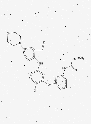 C=CC(=O)Nc1cccc(Oc2cc(Nc3ccc(N4CCOCC4)cc3C=O)ccc2Cl)c1